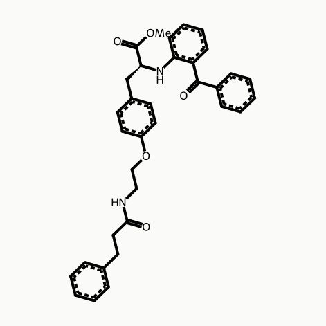 COC(=O)[C@H](Cc1ccc(OCCNC(=O)CCc2ccccc2)cc1)Nc1ccccc1C(=O)c1ccccc1